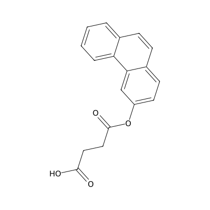 O=C(O)CCC(=O)Oc1ccc2ccc3ccccc3c2c1